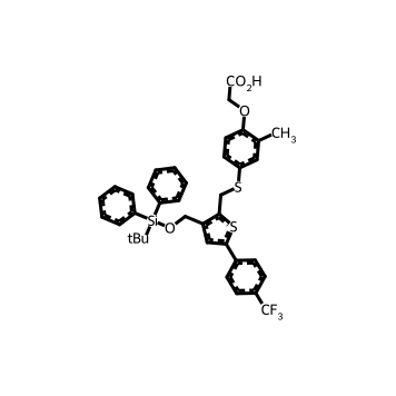 Cc1cc(SCc2sc(-c3ccc(C(F)(F)F)cc3)cc2CO[Si](c2ccccc2)(c2ccccc2)C(C)(C)C)ccc1OCC(=O)O